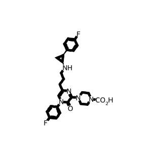 O=C(O)N1CCN(c2nc(CCCN[C@@H]3C[C@H]3c3ccc(F)cc3)cn(-c3ccc(F)cc3)c2=O)CC1